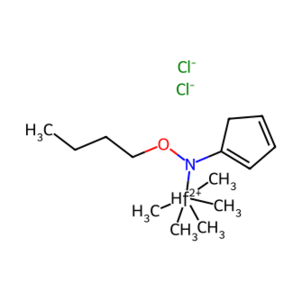 CCCCO[N](C1=CC=CC1)[Hf+2]([CH3])([CH3])([CH3])([CH3])[CH3].[Cl-].[Cl-]